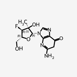 C[C@@]1(O)[C@H](F)[C@@H](CO)O[C@H]1n1cnc2c1N=C(N)CC2=O